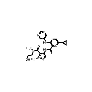 CN(CCO)C(=O)c1c(NC(=O)c2nc(C3CC3)cnc2Nc2cncnc2)cnn1C